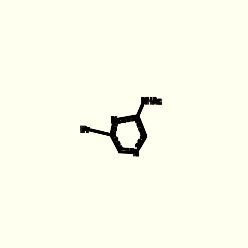 CC(=O)Nc1cncc(C(C)C)n1